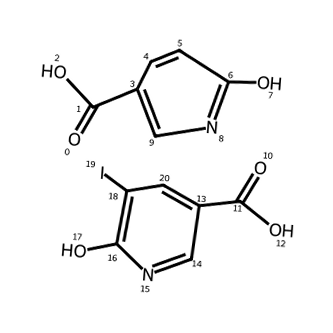 O=C(O)c1ccc(O)nc1.O=C(O)c1cnc(O)c(I)c1